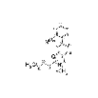 [CH2]N(Cc1ccc(-c2ccccc2C#N)cc1)C(=O)CCCC